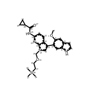 COc1cc2cc[nH]c2cc1-c1cn(COCC[Si](C)(C)C)c2nc(NC(=O)C3CC3)ccc12